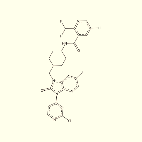 O=C(NC1CCC(Cn2c(=O)n(-c3ccnc(Cl)c3)c3ccc(F)cc32)CC1)c1cc(Cl)cnc1C(F)F